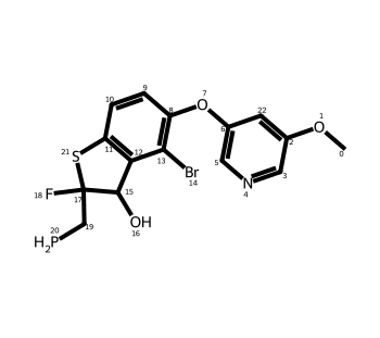 COc1cncc(Oc2ccc3c(c2Br)C(O)C(F)(CP)S3)c1